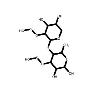 CC1OC(O)C(O)C(OSO)C1OC1OCC(O)C(O)C1OSO